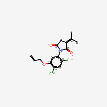 C=CCOc1cc(N2C(=O)CC(=C(C)C)C2=O)c(F)cc1Cl